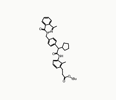 Cc1c(CCC(=O)OC(C)(C)C)cccc1NC(=O)C(c1ccc(Cn2nc(C)c3ccccc3c2=O)cc1)C1CCCC1